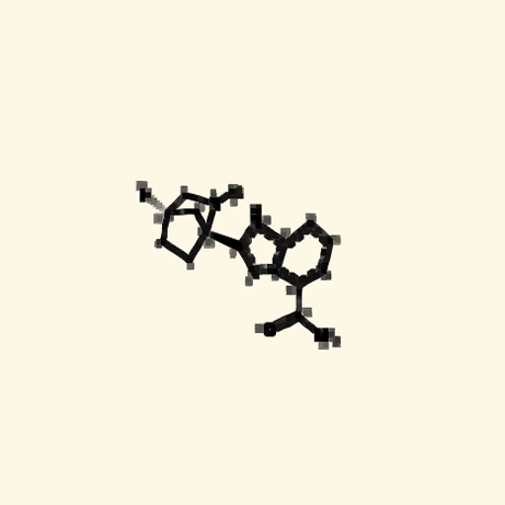 CCN1C[C@@H]2CC[C@]1(c1nc3c(C(N)=O)cccc3[nH]1)C2